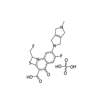 CN1CC2=C(C1)CN(c1cc3c(cc1F)c(=O)c(C(=O)O)c1n3C(CF)S1)C2.O=S(=O)(O)O